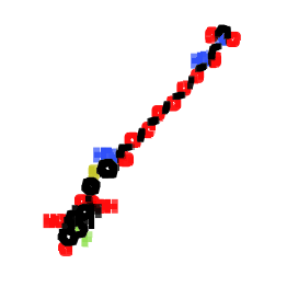 C[C@]12C=CC(=O)C=C1[C@@H](F)C[C@H]1[C@@H]3C[C@H]4O[C@@H](c5ccc(Sc6cccc(NC(=O)CCOCCOCCOCCOCCOCCOCCNC(=O)CCN7C(=O)C=CC7=O)c6)cc5)O[C@@]4(C(=O)CO)[C@@]3(C)C[C@H](O)[C@@]12F